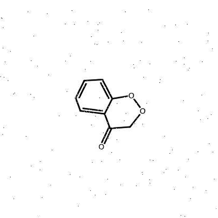 O=C1COOc2ccccc21